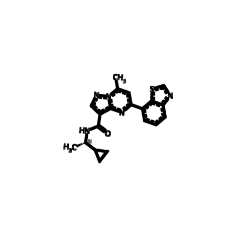 Cc1cc(-c2cccc3ncsc23)nc2c(C(=O)N[C@@H](C)C3CC3)cnn12